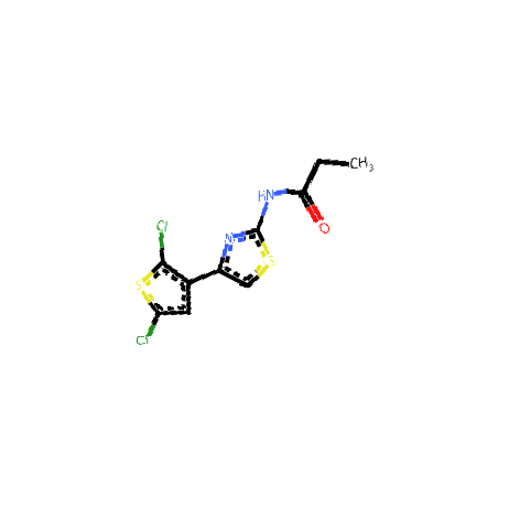 CCC(=O)Nc1nc(-c2cc(Cl)sc2Cl)cs1